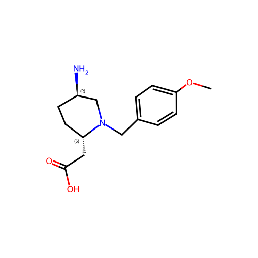 COc1ccc(CN2C[C@H](N)CC[C@H]2CC(=O)O)cc1